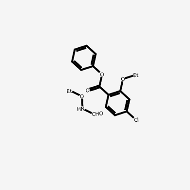 CCONC=O.CCOc1cc(Cl)ccc1C(=O)Oc1ccccc1